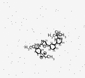 CCS(=O)(=O)c1ccc(OC)c(Nc2ncc(-c3cccc(-c4ccnc(C(C)(C)C)n4)c3)o2)c1